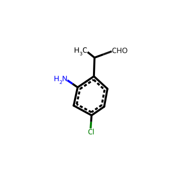 CC(C=O)c1ccc(Cl)cc1N